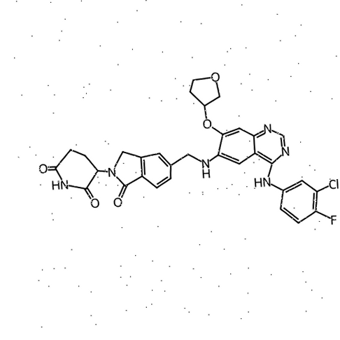 O=C1CCC(N2Cc3cc(CNc4cc5c(Nc6ccc(F)c(Cl)c6)ncnc5cc4OC4CCOC4)ccc3C2=O)C(=O)N1